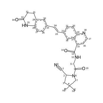 N#CC1CC(F)(F)CN1C(=O)CNC(=O)c1ccnc2ccc(/C=C/c3ccc4c(c3)CCC(=O)N4)cc12